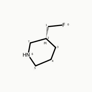 FC[C@@H]1CCCNC1